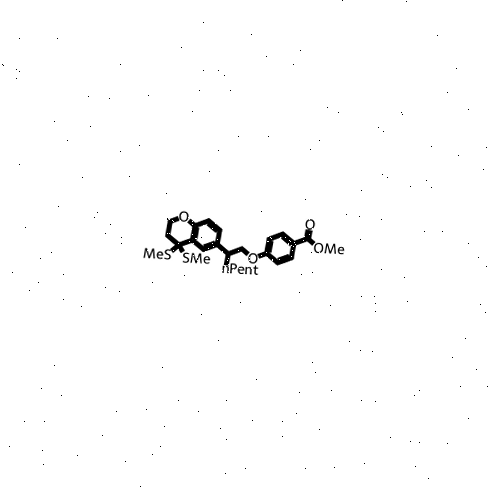 CCCCCC(COc1ccc(C(=O)OC)cc1)c1ccc2c(c1)C(SC)(SC)CCO2